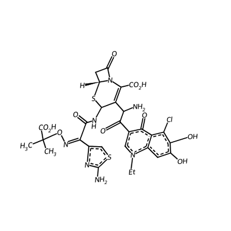 CCn1cc(C(=O)C(N)C2=C(C(=O)O)N3C(=O)C[C@H]3SC2NC(=O)/C(=N\OC(C)(C)C(=O)O)c2csc(N)n2)c(=O)c2c(Cl)c(O)c(O)cc21